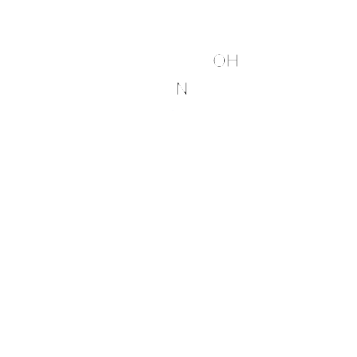 O/N=C/Cc1ccccc1